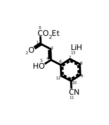 CCOC(=O)C(=O)C=C(O)c1cccc(C#N)c1.[LiH]